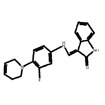 O=C1Nc2ccccc2/C1=C\Nc1ccc(N2CC=CCC2)c(F)c1